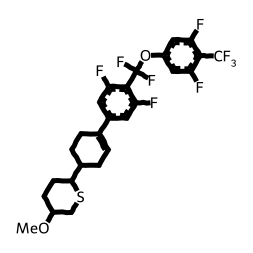 COC1CCC(C2CC=C(c3cc(F)c(C(F)(F)Oc4cc(F)c(C(F)(F)F)c(F)c4)c(F)c3)CC2)SC1